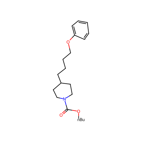 CCCCOC(=O)N1CCC(CCCCOc2[c]cccc2)CC1